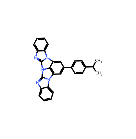 CC(C)c1ccc(-c2cc3c4c(c2)n2c5ccccc5nc2n4c2nc4ccccc4n32)cc1